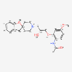 COc1ccc(NC(C)=O)c(OC[C@H](O)CN2CCC3(CC2)Cc2ccccc2O3)c1